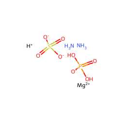 N.N.O=P([O-])(O)O.O=S(=O)([O-])[O-].[H+].[Mg+2]